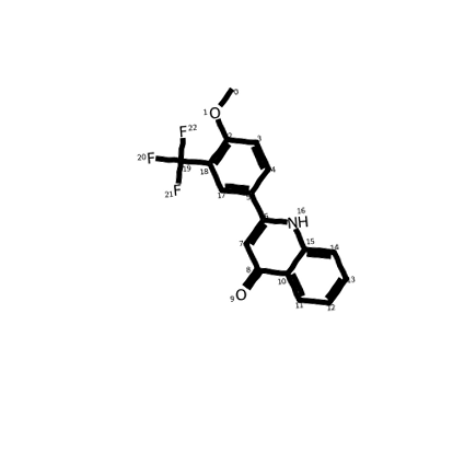 COc1ccc(-c2cc(=O)c3ccccc3[nH]2)cc1C(F)(F)F